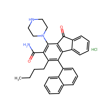 CCCCc1c(C(N)=O)c(N2CCNCC2)c2c(c1-c1cccc3ccccc13)-c1ccccc1C2=O.Cl